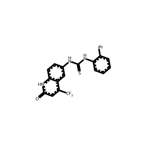 CC(C)c1ccccc1NC(=S)Nc1ccc2[nH]c(=O)cc(C(F)(F)F)c2c1